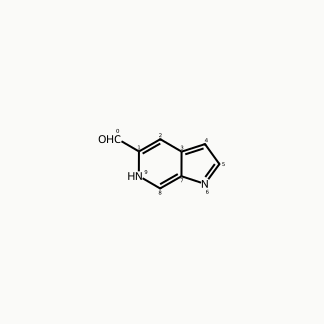 O=Cc1cc2ccnc-2c[nH]1